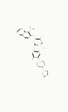 CCO[C@@H]1CCN(C2CCN(c3cc(OC)c(Nc4ncc(Br)c(Nc5ccc6nccnc6c5P(C)C)n4)cc3C)CC2)C1